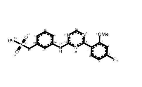 COc1cc(F)ccc1-c1ncnc(Nc2cccc(CS(=O)(=O)C(C)(C)C)c2)n1